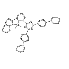 C[Si]1(C)c2c(-c3nc(-c4ccc(-c5ccccc5)cc4)nc(-c4ccc(-c5ccccc5)cc4)n3)cccc2-c2ccc3ccccc3c21